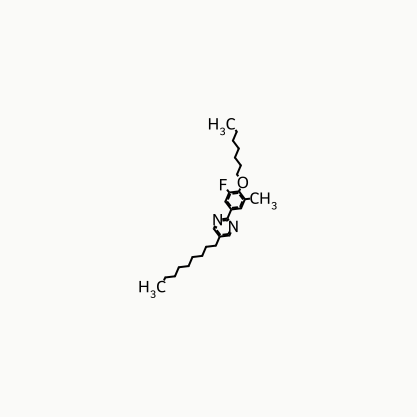 CCCCCCCCCc1cnc(-c2cc(C)c(OCCCCCCC)c(F)c2)nc1